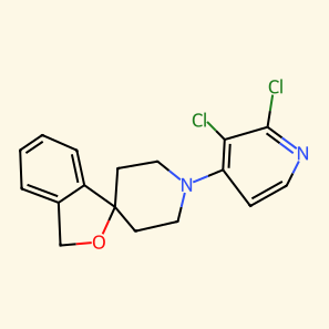 Clc1nccc(N2CCC3(CC2)OCc2ccccc23)c1Cl